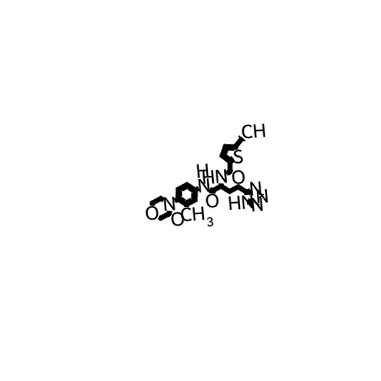 C#Cc1ccc(C(=O)NC(CCc2nnn[nH]2)C(=O)Nc2ccc(N3CCOCC3=O)c(C)c2)s1